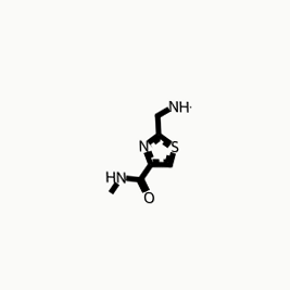 CNC(=O)c1csc(C[NH])n1